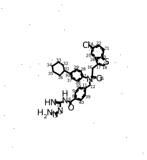 N=C(/N=N\N)NC(=O)c1ccc(CN(C(=O)Cc2csc3ccc(Cl)cc23)c2ccc(C3CCCCC3)cc2)cc1